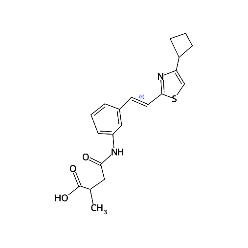 CC(CC(=O)Nc1cccc(/C=C/c2nc(C3CCC3)cs2)c1)C(=O)O